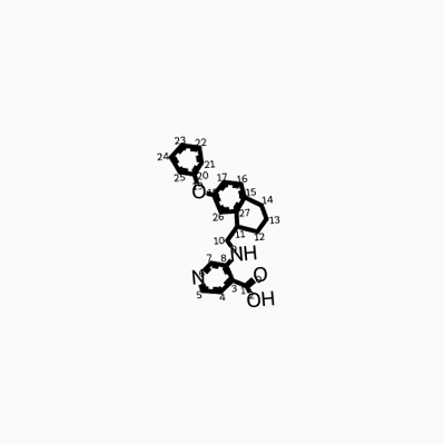 O=C(O)c1ccncc1NCC1CCCc2ccc(Oc3ccccc3)cc21